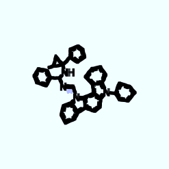 CC1CC1(NC(/N=C/n1c2ccccc2c2ccc3c(c4ccccc4n3-c3ccccc3)c21)c1ccccc1)c1ccccc1